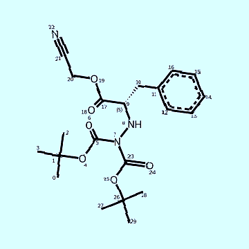 CC(C)(C)OC(=O)N(N[C@@H](Cc1ccccc1)C(=O)OCC#N)C(=O)OC(C)(C)C